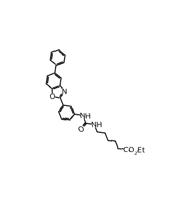 CCOC(=O)CCCCCNC(=O)Nc1cccc(-c2nc3cc(-c4ccccc4)ccc3o2)c1